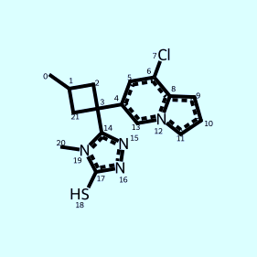 CC1CC(c2cc(Cl)c3cccn3c2)(c2nnc(S)n2C)C1